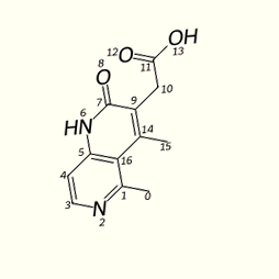 Cc1nccc2[nH]c(=O)c(CC(=O)O)c(C)c12